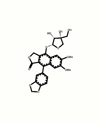 COc1cc2c(O[C@H]3OC[C@](O)(CO)[C@H]3O)c3c(c(-c4ccc5c(c4)OCO5)c2cc1OC)C(=O)OC3